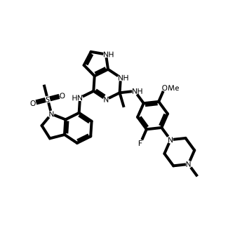 COc1cc(N2CCN(C)CC2)c(F)cc1NC1(C)N=C(Nc2cccc3c2N(S(C)(=O)=O)CC3)c2cc[nH]c2N1